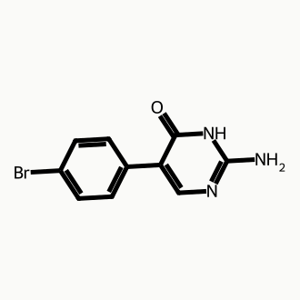 Nc1ncc(-c2ccc(Br)cc2)c(=O)[nH]1